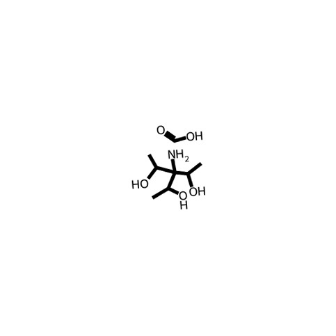 CC(O)C(N)(C(C)O)C(C)O.O=CO